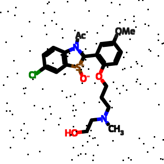 COc1ccc(OCCCN(C)CCO)c(C2N(C(C)=O)c3ccc(Cl)cc3[S+]2[O-])c1